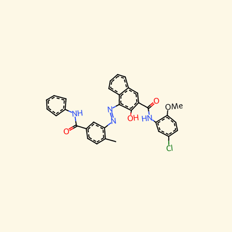 COc1ccc(Cl)cc1NC(=O)c1cc2ccccc2c(N=Nc2cc(C(=O)Nc3ccccc3)ccc2C)c1O